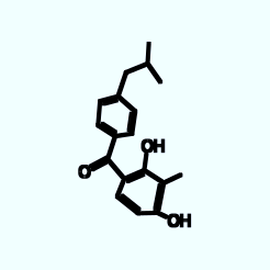 Cc1c(O)ccc(C(=O)c2ccc(CC(C)C)cc2)c1O